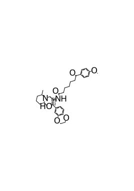 COc1ccc(C(=O)CCCCCC(=O)N[C@H](CN2C(C)CCCC2C)[C@@H](O)c2ccc3c(c2)OCCO3)cc1